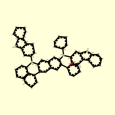 c1ccc(-c2cc3cc(-c4ccccc4)c(N(c4ccccc4)c4ccc5c(c4)sc4ccccc45)cc3cc2N(c2ccccc2)c2ccc3c(c2)sc2ccccc23)cc1